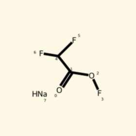 O=C(OF)C(F)F.[NaH]